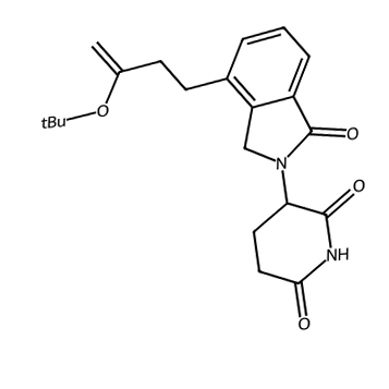 C=C(CCc1cccc2c1CN(C1CCC(=O)NC1=O)C2=O)OC(C)(C)C